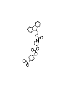 O=C(Oc1ccc([N+](=O)[O-])cc1)OC1CCN(C(=O)OCC2c3ccccc3-c3ccccc32)C1